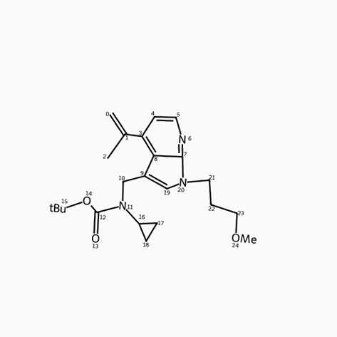 C=C(C)c1ccnc2c1c(CN(C(=O)OC(C)(C)C)C1CC1)cn2CCCOC